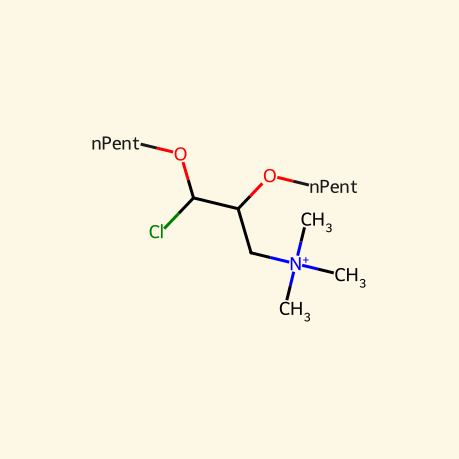 CCCCCOC(Cl)C(C[N+](C)(C)C)OCCCCC